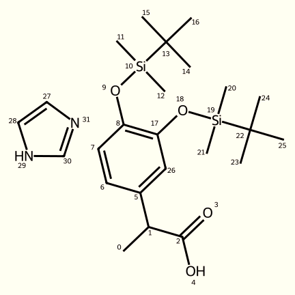 CC(C(=O)O)c1ccc(O[Si](C)(C)C(C)(C)C)c(O[Si](C)(C)C(C)(C)C)c1.c1c[nH]cn1